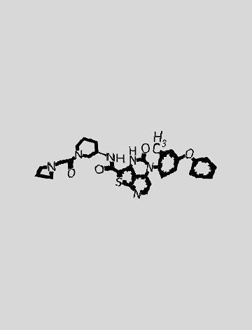 Cc1cc(Oc2ccccc2)ccc1N1C(=O)Nc2c(C(=O)N[C@@H]3CCCN(C(=O)CN4CCC4)C3)sc3nccc1c23